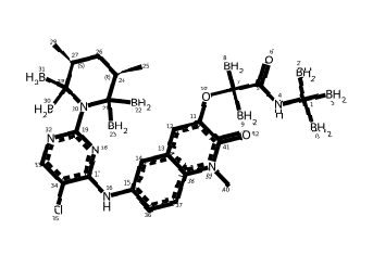 BC(B)(B)NC(=O)C(B)(B)Oc1cc2cc(Nc3nc(N4C(B)(B)[C@H](C)C[C@H](C)C4(B)B)ncc3Cl)ccc2n(C)c1=O